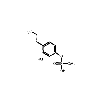 COP(=O)(O)Oc1ccc(SCC(F)(F)F)cc1.Cl